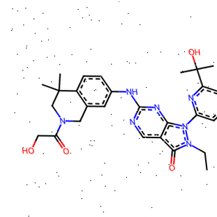 CCn1c(=O)c2cnc(Nc3ccc4c(c3)CN(C(=O)CO)CC4(C)C)nc2n1-c1cccc(C(C)(C)O)n1